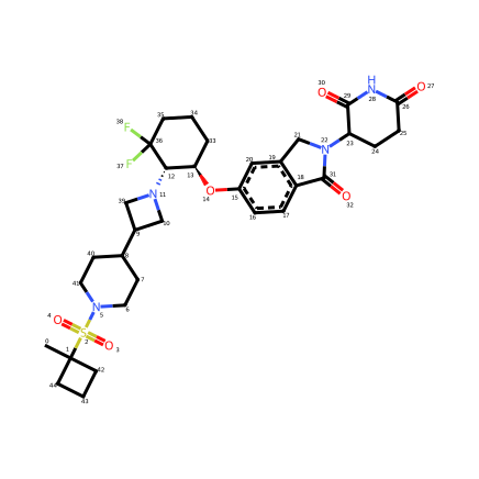 CC1(S(=O)(=O)N2CCC(C3CN([C@H]4[C@H](Oc5ccc6c(c5)CN(C5CCC(=O)NC5=O)C6=O)CCCC4(F)F)C3)CC2)CCC1